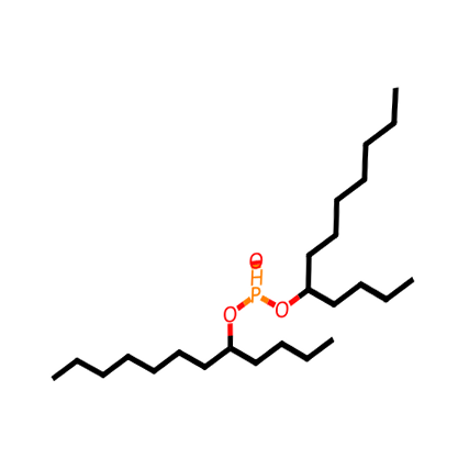 CCCCCCCC(CCCC)O[PH](=O)OC(CCCC)CCCCCCC